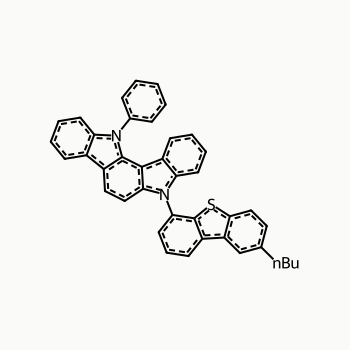 CCCCc1ccc2sc3c(-n4c5ccccc5c5c4ccc4c6ccccc6n(-c6ccccc6)c45)cccc3c2c1